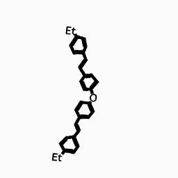 CCc1ccc(/C=C/c2ccc(Oc3ccc(/C=C/c4ccc(CC)cc4)cc3)cc2)cc1